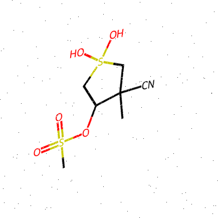 CC1(C#N)CS(O)(O)CC1OS(C)(=O)=O